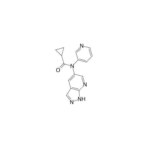 O=C(C1CC1)N(c1cccnc1)c1cnc2[nH]ncc2c1